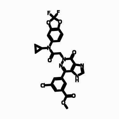 COC(=O)c1cc(Cl)cc(-c2nn(CC(=O)N(c3ccc4c(c3)OC(F)(F)O4)C3CC3)c(=O)c3nc[nH]c23)c1